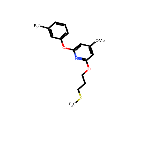 COc1cc(OCCCSC(F)(F)F)nc(Oc2cccc(C(F)(F)F)c2)c1